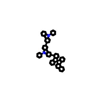 c1ccc(-n2c3ccccc3c3cc(-c4ccc5c(c4)c4cc(-c6cccc7c6-c6ccccc6C76c7ccccc7-c7c6ccc6ccccc76)ccc4n5-c4ccccc4)ccc32)cc1